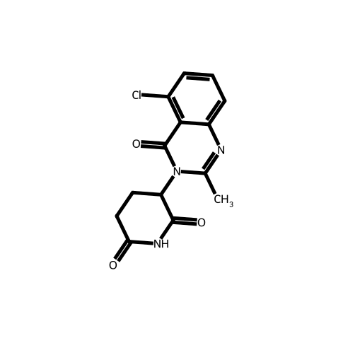 Cc1nc2cccc(Cl)c2c(=O)n1C1CCC(=O)NC1=O